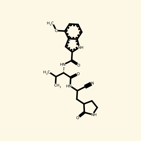 COc1cccc2[nH]c(C(=O)N[C@H](C(=O)NC(C#N)CC3CCNC3=O)C(C)C)cc12